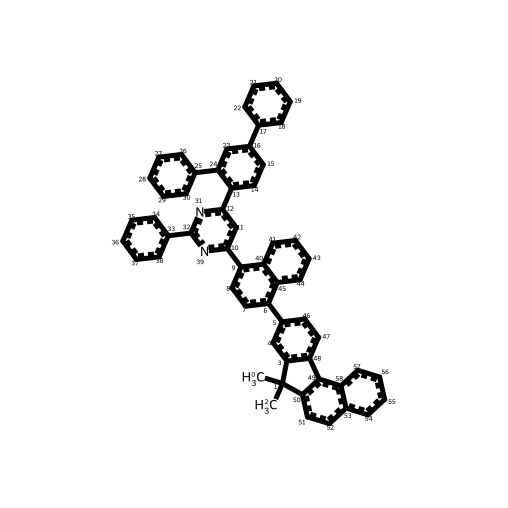 CC1(C)c2cc(-c3ccc(-c4cc(-c5ccc(-c6ccccc6)cc5-c5ccccc5)nc(-c5ccccc5)n4)c4ccccc34)ccc2-c2c1ccc1ccccc21